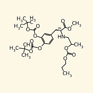 CCCOC(=O)OC(C)CN[C@@H](Cc1ccc(OC(=O)OC(C)(C)C)c(OC(=O)OC(C)(C)C)c1)C(=O)OC